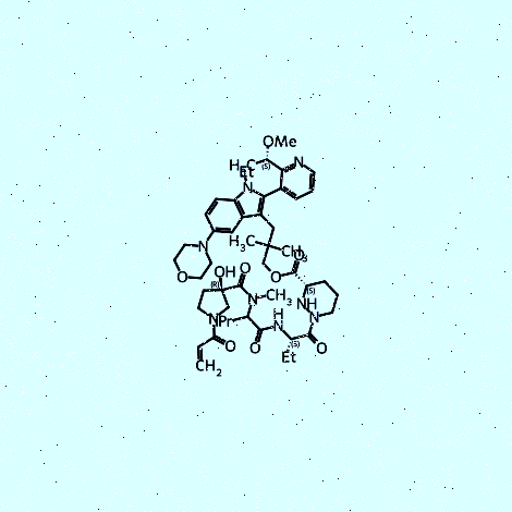 C=CC(=O)N1CC[C@](O)(C(=O)N(C)C(C(=O)N[C@@H](CC)C(=O)N2CCC[C@@H](C(=O)OCC(C)(C)Cc3c(-c4cccnc4[C@H](C)OC)n(CC)c4ccc(N5CCOCC5)cc34)N2)C(C)C)C1